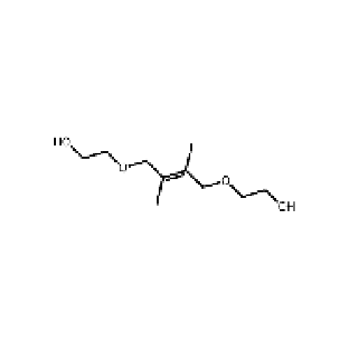 OCCOCC(I)=C(I)COCCO